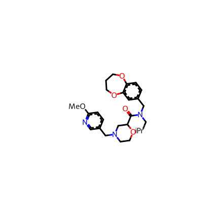 COc1ccc(CN2CCOC(C(=O)N(Cc3ccc4c(c3)OCCCO4)CC(C)C)C2)cn1